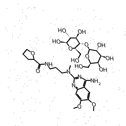 COc1cc2nc(N(C)CCCNC(=O)C3CCCO3)nc(N)c2cc1OC.OC[C@H]1O[C@@H](O[C@H]2[C@H](O)[C@@H](O)[C@H](O)O[C@@H]2CO)[C@H](O)[C@@H](O)[C@H]1O